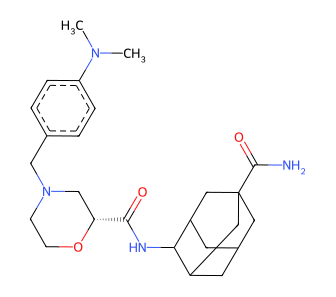 CN(C)c1ccc(CN2CCO[C@@H](C(=O)NC3C4CC5CC3CC(C(N)=O)(C5)C4)C2)cc1